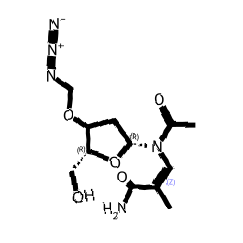 CC(=O)N(/C=C(/C)C(N)=O)[C@H]1CC(OCN=[N+]=[N-])[C@@H](CO)O1